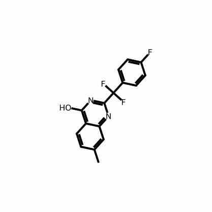 Cc1ccc2c(O)nc(C(F)(F)c3ccc(F)cc3)nc2c1